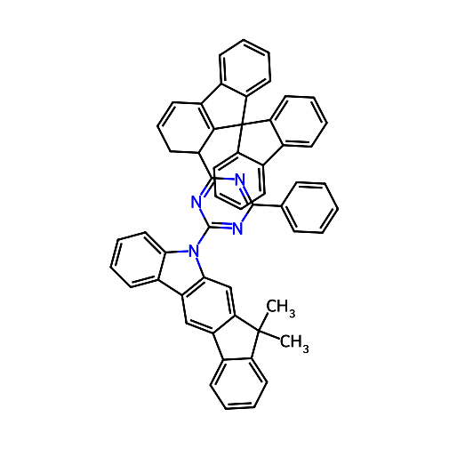 CC1(C)c2ccccc2-c2cc3c4ccccc4n(-c4nc(-c5ccccc5)nc(C5CC=CC6=C5C5(c7ccccc76)c6ccccc6-c6ccccc65)n4)c3cc21